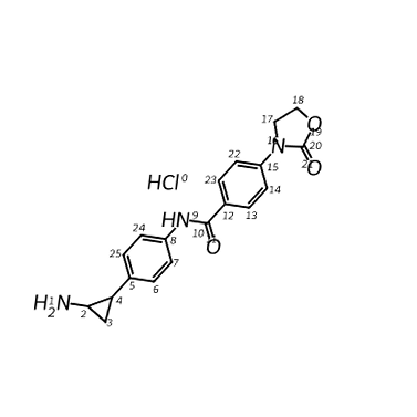 Cl.NC1CC1c1ccc(NC(=O)c2ccc(N3CCOC3=O)cc2)cc1